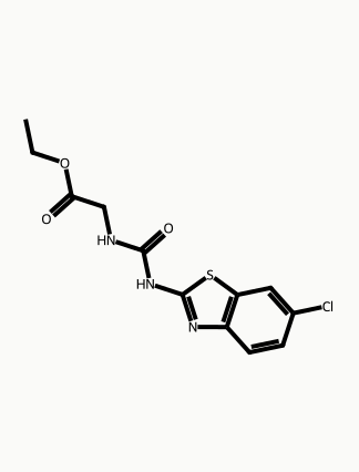 CCOC(=O)CNC(=O)Nc1nc2ccc(Cl)cc2s1